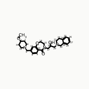 COC1CCN(Cc2ccc3c(c2)OCCN(CC(O)CN2CCc4ccccc4C2)C3=O)CC1